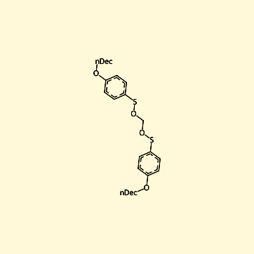 CCCCCCCCCCOc1ccc(SOCOSc2ccc(OCCCCCCCCCC)cc2)cc1